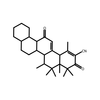 CC1=C(C#N)C(=O)C(C)(C)C2(C)C1C1=CC(=O)C3C4CCCCC4CCC3C1C(C)C2(C)C